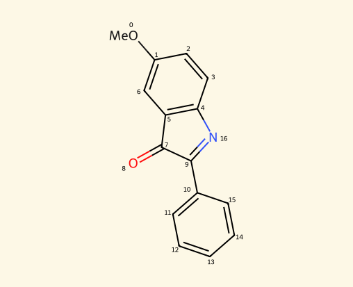 COc1ccc2c(c1)C(=O)C(c1ccccc1)=N2